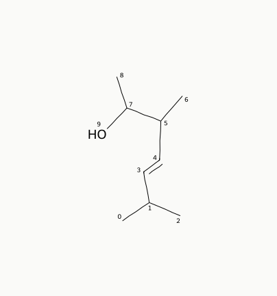 CC(C)C=CC(C)C(C)O